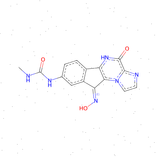 CNC(=O)Nc1ccc2c(c1)/C(=N\O)c1c-2[nH]c(=O)c2nccn12